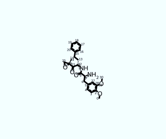 COc1ccc(C[C@H](N)C(=O)N[C@@H](CCc2ccccc2)C(=O)[C@@]2(C)CO2)cc1OC